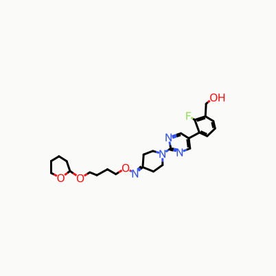 OCc1cccc(-c2cnc(N3CCC(=NOCCCCOC4CCCCO4)CC3)nc2)c1F